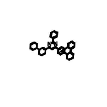 C1=CCC(c2cccc(-c3cc(C4=CC56CC5(C=C4)c4ccccc4-c4ccccc46)nc(-c4ccccc4)n3)c2)C=C1